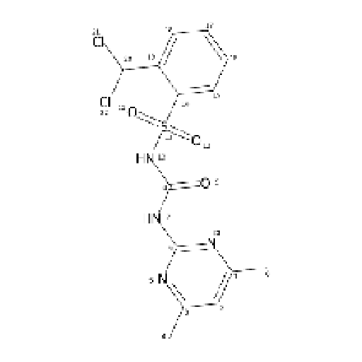 Cc1cc(C)nc(NC(=O)NS(=O)(=O)c2ccccc2C(Cl)Cl)n1